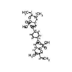 C=CC(=O)N(C)CC(COc1ccc(OCC(CN(C)C(=O)C=C)OP(=O)(O)O)cc1)OP(=O)(O)O